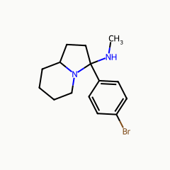 CNC1(c2ccc(Br)cc2)CCC2CCCCN21